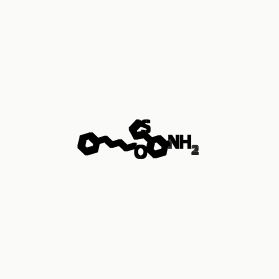 Nc1ccc(OCCCCCc2ccccc2)c(-c2cccs2)c1